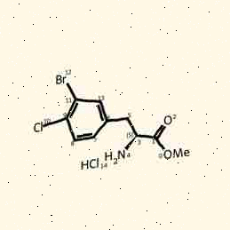 COC(=O)[C@@H](N)Cc1ccc(Cl)c(Br)c1.Cl